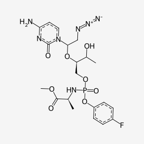 COC(=O)[C@H](C)NP(=O)(OC[C@@H](OC(CN=[N+]=[N-])n1ccc(N)nc1=O)C(C)O)Oc1ccc(F)cc1